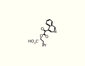 CC(C)C[C@@H](OC(=O)C(=O)c1cncc2ccccc12)C(=O)O